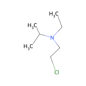 CCN(CCCl)C(C)C